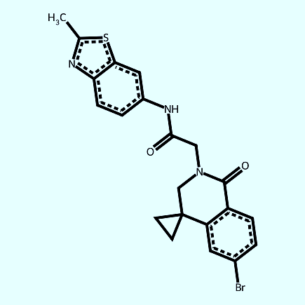 Cc1nc2ccc(NC(=O)CN3CC4(CC4)c4cc(Br)ccc4C3=O)cc2s1